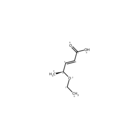 CCO[C@@H](C)/C=C/C(=O)O